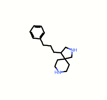 c1ccc(CCCC2CNCC23CCNCC3)cc1